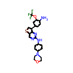 Nc1ccc(-c2csc3cnc(Nc4ccc(N5CCOCC5)cc4)nc23)cc1OC(F)(F)F